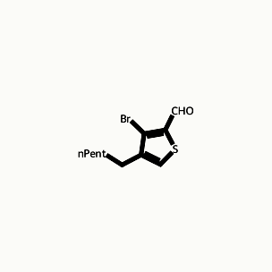 CCCCCCc1csc(C=O)c1Br